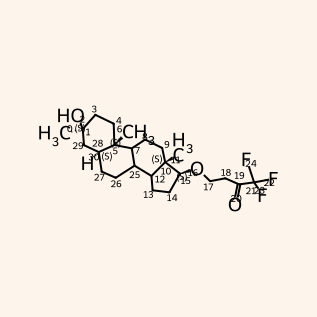 C[C@]1(O)CC[C@]2(C)C3CC[C@@]4(C)C(CC[C@@H]4OCCC(=O)C(F)(F)F)C3CC[C@H]2C1